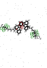 ClC(Cl)(Cl)C(Cl)(Cl)C(Cl)(Cl)C(Cl)(Cl)CCCCCCc1ccccc1C(OC(c1ccccc1)(c1ccccc1)c1ccccc1CCCCCCC(Cl)(Cl)C(Cl)(Cl)C(Cl)(Cl)C(Cl)(Cl)Cl)(c1ccccc1)c1ccccc1